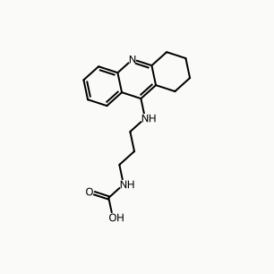 O=C(O)NCCCNc1c2c(nc3ccccc13)CCCC2